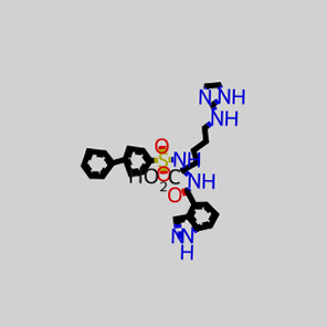 O=C(NC(CCCCNC1=NCCN1)(NS(=O)(=O)c1ccc(-c2ccccc2)cc1)C(=O)O)c1cccc2[nH]ncc12